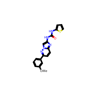 COc1cccc(-c2ccc3nc(NC(=O)Nc4cccs4)cn3n2)c1